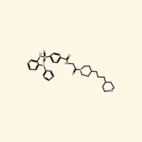 O=C(NCC(=O)N1CCC(CCCC2CCNCC2)CC1)c1ccc(S(=O)(=O)Nc2ccccc2Oc2ccccc2)cc1